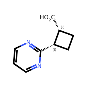 O=C(O)[C@@H]1CC[C@@H]1c1ncccn1